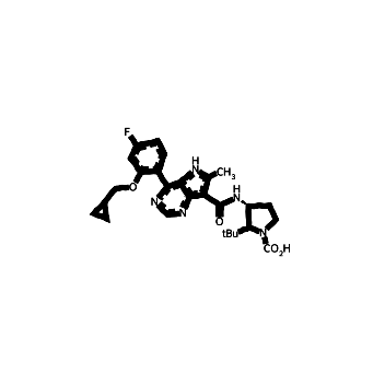 Cc1[nH]c2c(-c3ccc(F)cc3OCC3CC3)ncnc2c1C(=O)N[C@@H]1CCN(C(=O)O)C1C(C)(C)C